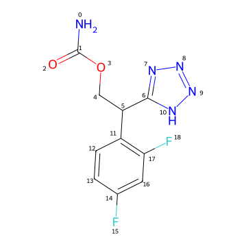 NC(=O)OCC(c1nnn[nH]1)c1ccc(F)cc1F